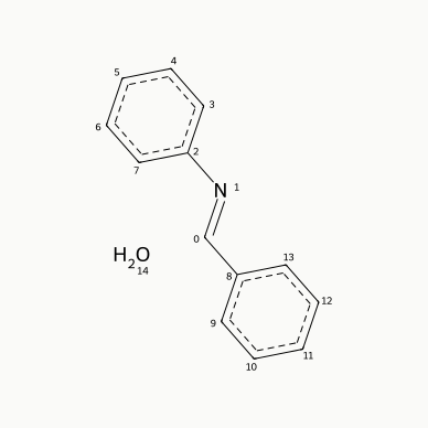 C(=N\c1ccccc1)/c1ccccc1.O